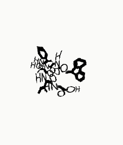 CC[C@H](C)[C@H](NC(=O)[C@@H](NC(=O)[C@H](Cc1c[nH]c2ccccc12)NC(=O)OCC1c2ccccc2-c2ccccc21)[C@@H](C)O)C(=O)NCC(=O)O